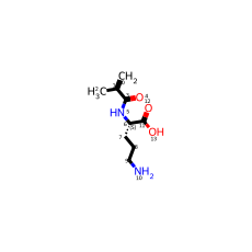 C=C(C)C(=O)N[C@@H](CCCN)C(=O)O